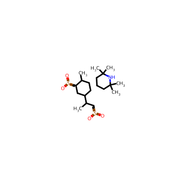 CC1(C)CCCC(C)(C)N1.CC1CCC(C(C)C=S(=O)=O)CC1=S(=O)=O